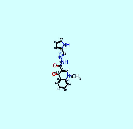 Cn1cc(C(=O)N/N=C/c2ccc[nH]2)c(=O)c2ccccc21